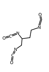 O=C=NCCC(CN=C=O)N=C=O